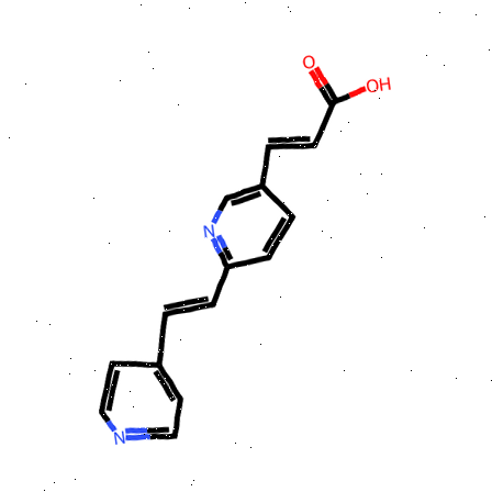 O=C(O)/C=C/c1ccc(/C=C/c2ccncc2)nc1